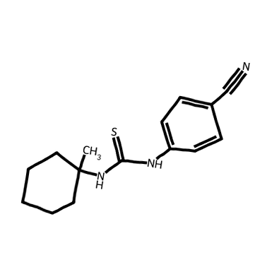 CC1(NC(=S)Nc2ccc(C#N)cc2)CCCCC1